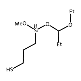 CCOC(CC)O[SiH](CCCS)OC